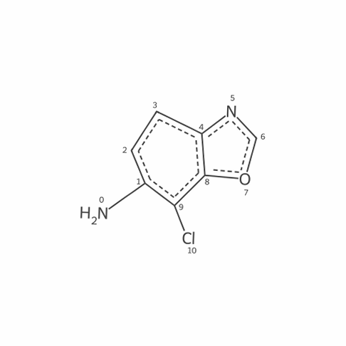 Nc1ccc2ncoc2c1Cl